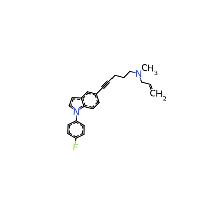 C=CCN(C)CCCC#Cc1ccc2c(ccn2-c2ccc(F)cc2)c1